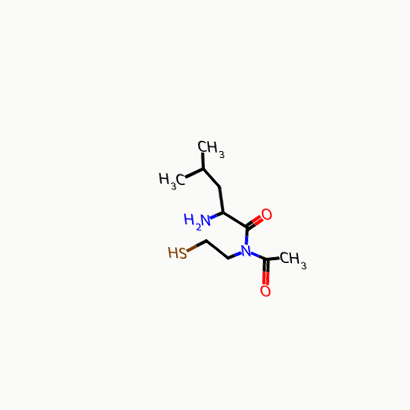 CC(=O)N(CCS)C(=O)C(N)CC(C)C